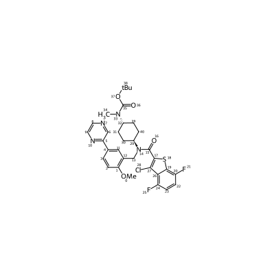 COc1ccc(-c2cnccn2)cc1CN(C(=O)c1sc2c(F)ccc(F)c2c1Cl)[C@H]1CC[C@H](N(C)C(=O)OC(C)(C)C)CC1